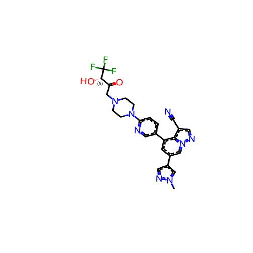 Cn1cc(-c2cc(-c3ccc(N4CCN(CC(=O)[C@H](O)C(F)(F)F)CC4)nc3)c3c(C#N)cnn3c2)cn1